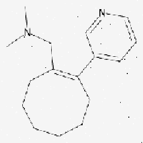 CN(C)CC1=C(c2cccnc2)CCCCCC1